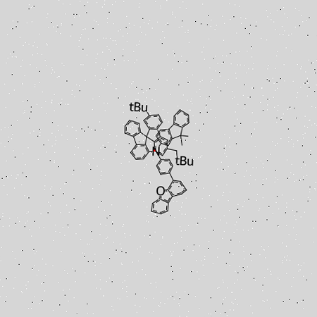 CC(C)(C)Cc1ccc2c(c1)-c1ccc(C(C)(C)C)cc1C21c2ccccc2-c2cccc(N(c3ccc(-c4cccc5c4oc4ccccc45)cc3)c3ccc4c(c3)C(C)(C)c3ccccc3-4)c21